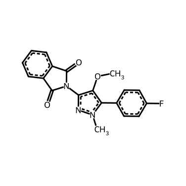 COc1c(N2C(=O)c3ccccc3C2=O)nn(C)c1-c1ccc(F)cc1